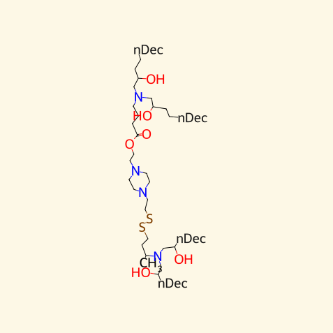 CCCCCCCCCCCCC(O)CN(CCCC(=O)OCCN1CCN(CCSSCCC(C)N(CC(O)CCCCCCCCCC)CC(O)CCCCCCCCCC)CC1)CC(O)CCCCCCCCCCCC